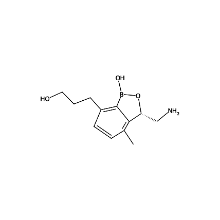 Cc1ccc(CCCO)c2c1[C@@H](CN)OB2O